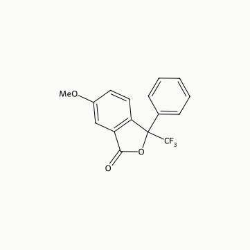 COc1ccc2c(c1)C(=O)OC2(c1ccccc1)C(F)(F)F